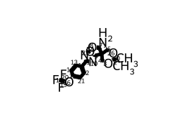 CC1(C)OCC(C(N)=O)(c2nc(-c3ccc(OC(F)(F)F)cc3)no2)CO1